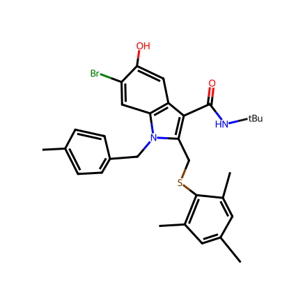 Cc1ccc(Cn2c(CSc3c(C)cc(C)cc3C)c(C(=O)NC(C)(C)C)c3cc(O)c(Br)cc32)cc1